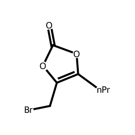 CCCc1oc(=O)oc1CBr